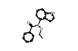 CCON(C(=O)c1ccccc1)c1cccc2[nH]ccc12